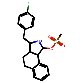 CS(=O)(=O)OC1NC(Cc2ccc(F)cc2)C2CCc3ccccc3C12